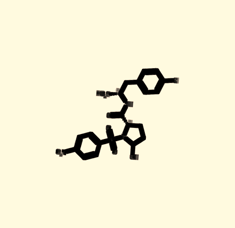 O=C(O)[C@H](Cc1ccc(Cl)cc1)NC(=O)[C@@H]1CCC(O)N1S(=O)(=O)c1ccc([N+](=O)[O-])cc1